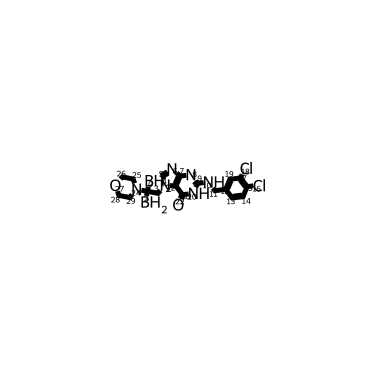 BC(B)(Cn1cnc2nc(NCc3ccc(Cl)c(Cl)c3)[nH]c(=O)c21)N1CCOCC1